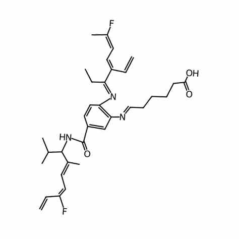 C=C/C(F)=C\C=C(/C)C(NC(=O)c1ccc(/N=C(CC)/C(C=C)=C/C=C(\C)F)c(/N=C/CCCCC(=O)O)c1)C(C)C